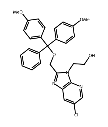 COc1ccc(C(OCc2nc3cc(Cl)cnc3n2CCO)(c2ccccc2)c2ccc(OC)cc2)cc1